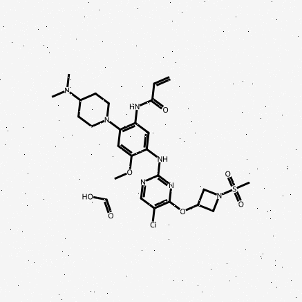 C=CC(=O)Nc1cc(Nc2ncc(Cl)c(OC3CN(S(C)(=O)=O)C3)n2)c(OC)cc1N1CCC(N(C)C)CC1.O=CO